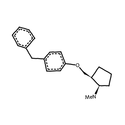 CN[C@@H]1CCC[C@@H]1COc1ccc(Cc2ccccc2)cc1